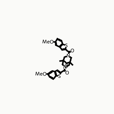 COc1ccc2sc(C(=O)N3CC4(C)CN(C(=O)c5cc6cc(OC)ccc6s5)CC(C)(C3)C4=O)cc2c1